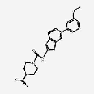 COc1cncc(-c2ccc3nc(NC(=O)N4CCC(C(=O)O)CC4)sc3c2)c1